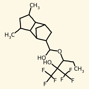 CCC(OC(O)C1CC2CC1C1C(C)CC(C)C21)C(O)(C(F)(F)F)C(F)(F)F